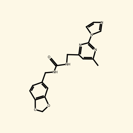 Cc1cc(CNC(=O)NCc2ccc3c(c2)OCO3)nc(-n2ccnc2)n1